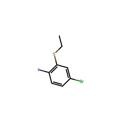 CCSc1cc(Br)ccc1I